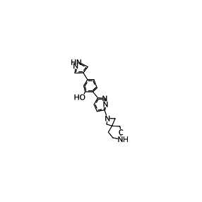 Oc1cc(-c2cn[nH]c2)ccc1-c1ccc(N2CC3(CCNCC3)C2)nn1